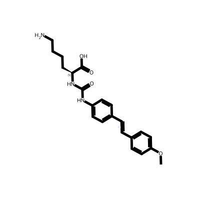 COc1ccc(/C=C/c2ccc(NC(=O)N[C@@H](CCCCN)C(=O)O)cc2)cc1